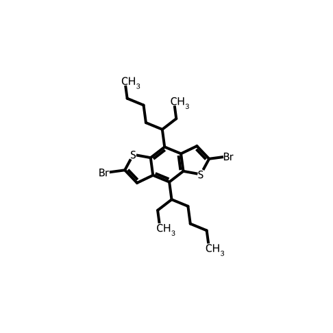 CCCCC(CC)c1c2cc(Br)sc2c(C(CC)CCCC)c2cc(Br)sc12